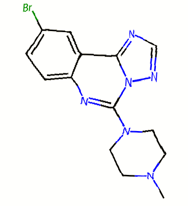 CN1CCN(c2nc3ccc(Br)cc3c3ncnn23)CC1